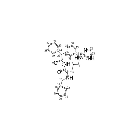 O=C(NC(=O)[C@H](CCCNc1ncc[nH]1)NCc1ccccc1)C(c1ccccc1)c1ccccc1